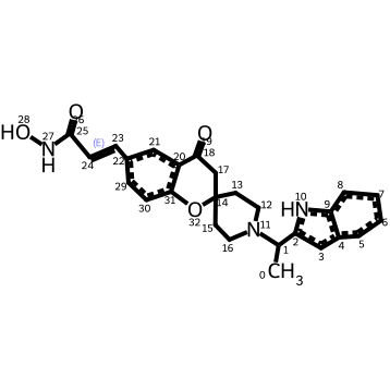 CC(c1cc2ccccc2[nH]1)N1CCC2(CC1)CC(=O)c1cc(/C=C/C(=O)NO)ccc1O2